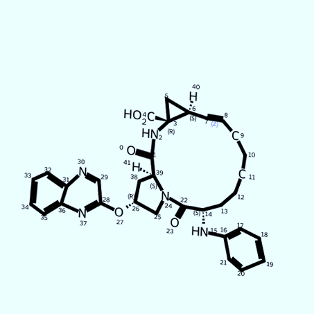 O=C1N[C@]2(C(=O)O)C[C@H]2/C=C\CCCCC[C@H](Nc2ccccc2)C(=O)N2C[C@H](Oc3cnc4ccccc4n3)C[C@@H]12